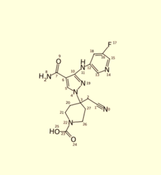 N#CCC1(n2cc(C(N)=O)c(Nc3cncc(F)c3)n2)CCN(C(=O)O)CC1